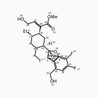 CC[C@@H]1CN2CC[C@@]34OCCO[C@@]3(Nc3c(F)c(F)cc(CO)c34)[C@@H]2C[C@@H]1/C(=C\CO)C(=O)OC